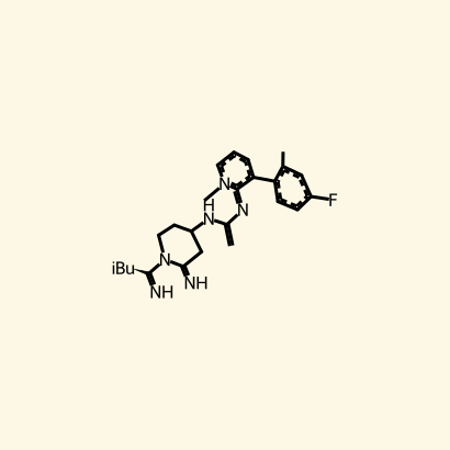 C=C(/N=c1/c(-c2ccc(F)cc2C)cccn1C)NC1CCN(C(=N)[C@H](C)CC)C(=N)C1